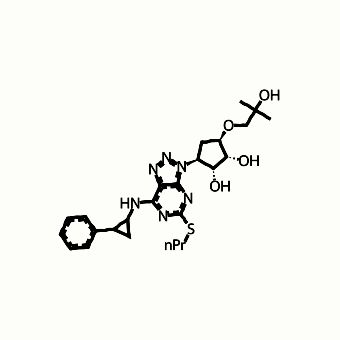 CCCSc1nc(NC2CC2c2ccccc2)c2nnn([C@H]3C[C@@H](OCC(C)(C)O)[C@H](O)[C@@H]3O)c2n1